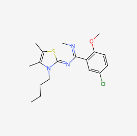 CCCCn1c(C)c(C)s/c1=N\C(=NC)c1cc(Cl)ccc1OC